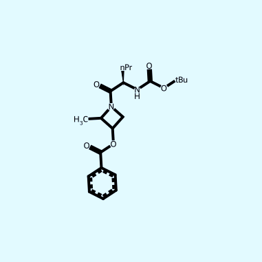 CCC[C@@H](NC(=O)OC(C)(C)C)C(=O)N1CC(OC(=O)c2ccccc2)C1C